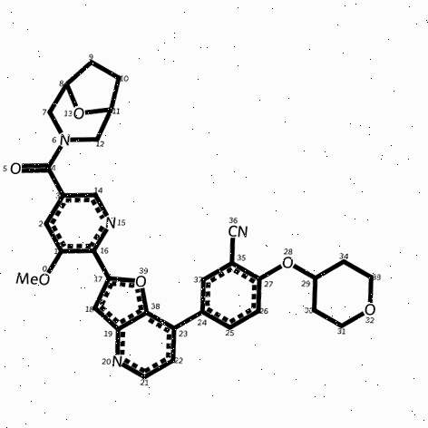 COc1cc(C(=O)N2CC3CCC(C2)O3)cnc1-c1cc2nccc(-c3ccc(OC4CCOCC4)c(C#N)c3)c2o1